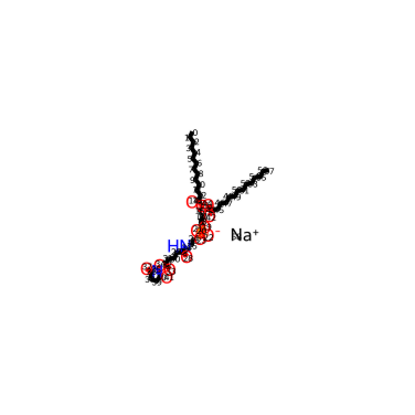 CCCCCCCCCCCCCC(=O)OC[C@H](COP(=O)([O-])OCCNC(=O)CCCC(=O)ON1C(=O)CCC1=O)OC(=O)CCCCCCCCCCCCC.[Na+]